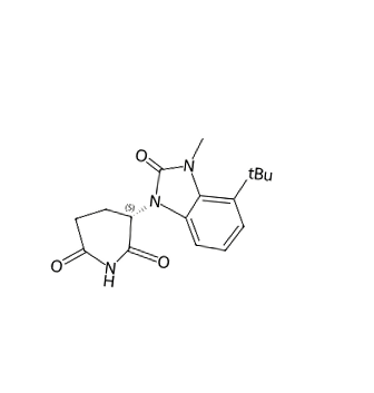 Cn1c(=O)n([C@H]2CCC(=O)NC2=O)c2cccc(C(C)(C)C)c21